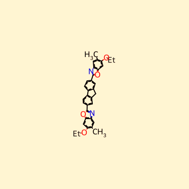 CCOc1cc2oc(-c3ccc4c(c3)Cc3cc(-c5nc6cc(C)c(OCC)cc6o5)ccc3-4)nc2cc1C